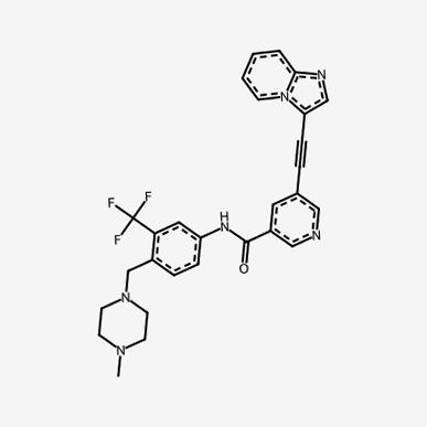 CN1CCN(Cc2ccc(NC(=O)c3cncc(C#Cc4cnc5ccccn45)c3)cc2C(F)(F)F)CC1